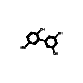 CCCCc1ccc(O)c(-c2cc(O)cc(O)c2)c1